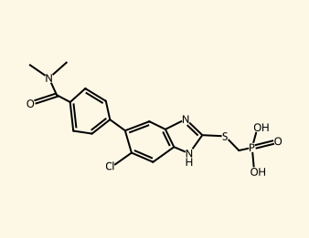 CN(C)C(=O)c1ccc(-c2cc3nc(SCP(=O)(O)O)[nH]c3cc2Cl)cc1